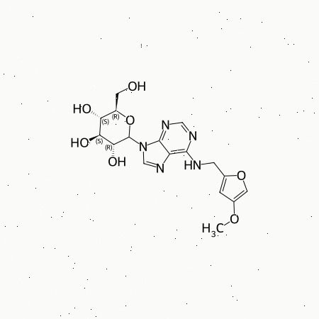 COc1coc(CNc2ncnc3c2ncn3C2O[C@H](CO)[C@@H](O)[C@H](O)[C@H]2O)c1